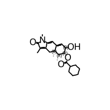 CC1=C2C[C@@]3(C)C(=C[C@@H](O)[C@H](OC(=O)C4CCCCC4)[C@@H]3C)C=C2N(C)C1=O